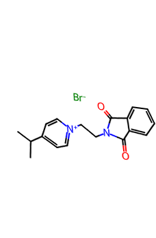 CC(C)c1cc[n+](CCN2C(=O)c3ccccc3C2=O)cc1.[Br-]